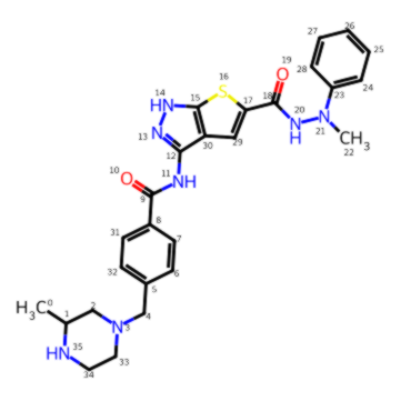 CC1CN(Cc2ccc(C(=O)Nc3n[nH]c4sc(C(=O)NN(C)c5ccccc5)cc34)cc2)CCN1